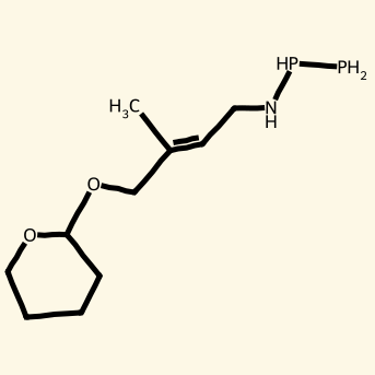 C/C(=C\CNPP)COC1CCCCO1